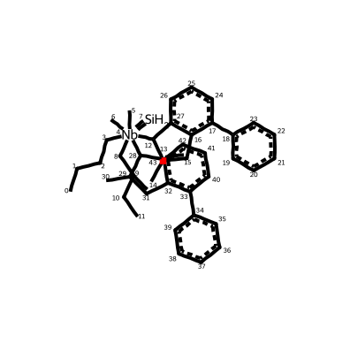 CCC[CH2][Nb]([CH3])([CH3])(=[SiH2])([CH2]CCC)([CH]1C(C)=Cc2c(-c3ccccc3)cccc21)[CH]1C(C)=Cc2c(-c3ccccc3)cccc21